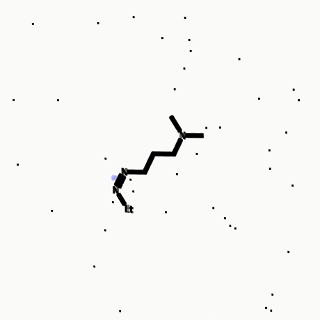 CC/N=N\CCCN(C)C